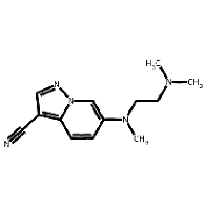 CN(C)CCN(C)c1ccc2c(C#N)cnn2c1